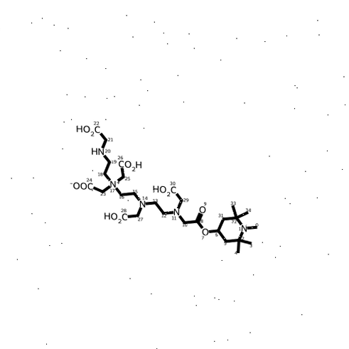 CN1C(C)(C)CC(OC(=O)CN(CCN(CC[N+](CCNCC(=O)O)(CC(=O)[O-])CC(=O)O)CC(=O)O)CC(=O)O)CC1(C)C